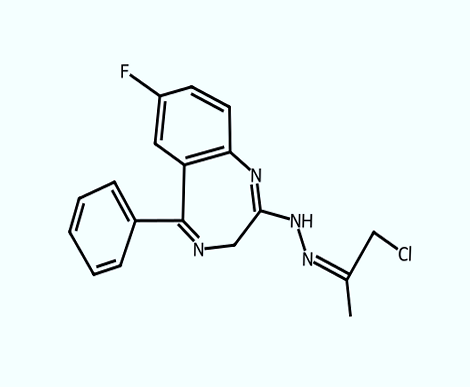 CC(CCl)=NNC1=Nc2ccc(F)cc2C(c2ccccc2)=NC1